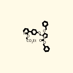 CCOC(=O)COc1ncccc1C1=CCC(OC[C@H]2[C@H](OCc3ccccc3)CCN2C(=O)OCc2ccccc2)CC1